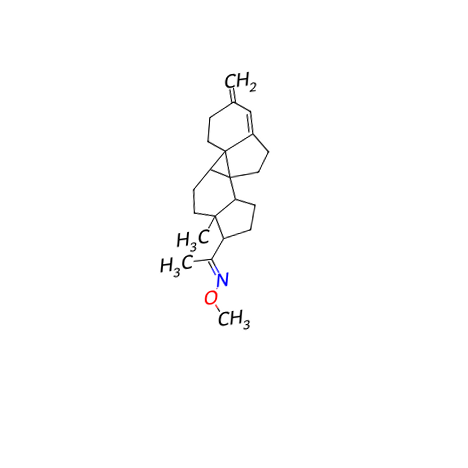 C=C1C=C2CCC34C5CCC(/C(C)=N/OC)C5(C)CCC3C24CC1